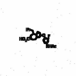 CC(=O)Nc1ccc(Oc2ccc3c(c2)CCN(C(=O)O)CC3CC(C)C)c(F)c1